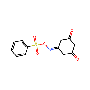 O=C1CC(=O)CC(=NOS(=O)(=O)c2ccccc2)C1